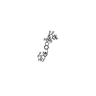 Cn1cc(S(=O)(=O)N[C@H]2Cc3ccc(Cn4cc(CO)c(C(F)(F)F)n4)cc3C2)c(C(F)(F)F)n1